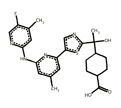 Cc1cc(Nc2cc(C)c(F)cn2)nc(-c2cnc(C(C)(O)C3CCC(C(=O)O)CC3)s2)c1